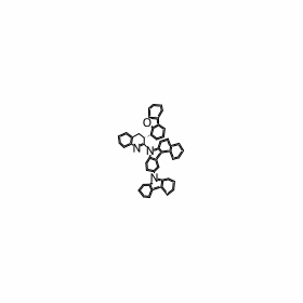 c1ccc2c(c1)C[C@H](c1cccc3c1oc1ccccc13)C(n1c3ccc(-n4c5ccccc5c5ccccc54)cc3c3c4ccccc4ccc31)=N2